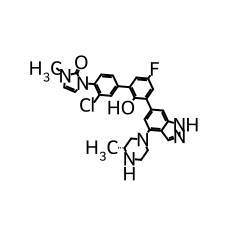 C[C@@H]1CN(c2cc(-c3cc(F)cc(-c4ccc(-n5ccn(C)c5=O)c(Cl)c4)c3O)cc3[nH]ncc23)CCN1